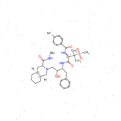 CC(C)(C)NC(=O)C1C[C@@H]2CCCC[C@@H]2CN1CC(O)C(Cc1ccccc1)NC(=O)[C@@H](NC(=O)c1ccc(C#N)cc1)C(C)(C)S(C)(=O)=O